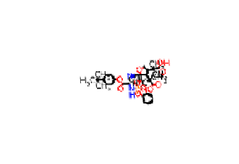 C[C@H](N[P@](=O)(OCC1(C#N)OCC(C(C)(C)C(=O)O)C1C(C)(C)C(=O)O)Oc1ccccc1)C(=O)OC1CCC(C(C)(C)C)CC1